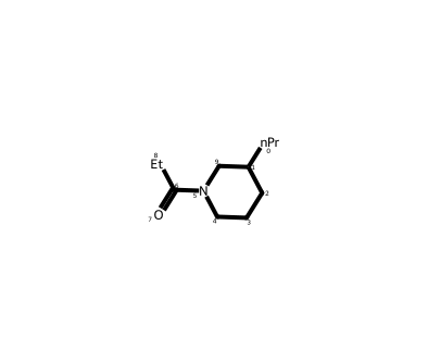 CCCC1CCCN(C(=O)CC)C1